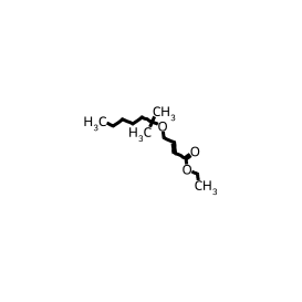 CCCCCC(C)(C)OC/C=C/C(=O)OCC